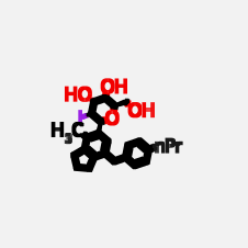 CCCc1ccc(Cc2cc([C@@H]3O[C@H](CO)C(O)[C@H](O)[C@@H]3I)c(C)c3c2CCC3)cc1